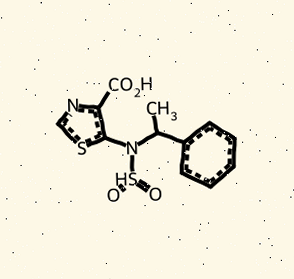 CC(c1ccccc1)N(c1scnc1C(=O)O)[SH](=O)=O